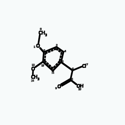 COc1ccc(C(Cl)C(=O)O)cc1OC